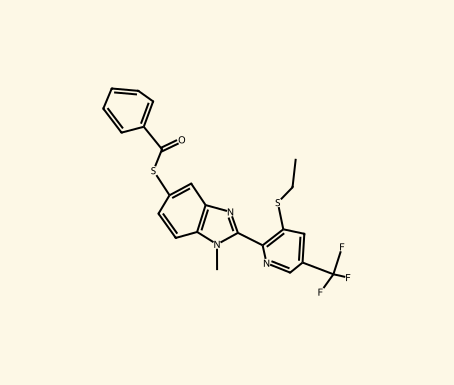 CCSc1cc(C(F)(F)F)cnc1-c1nc2cc(SC(=O)c3ccccc3)ccc2n1C